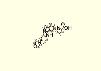 O=C(O)c1cccc(-c2ccc3ncnc(N[C@H]4CC[C@H](N5CCOCC5)CC4)c3c2)n1